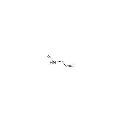 C=CCN[S]